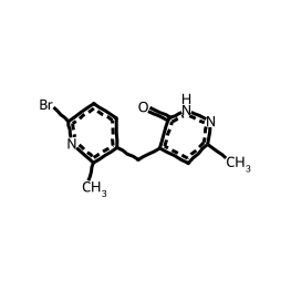 Cc1cc(Cc2ccc(Br)nc2C)c(=O)[nH]n1